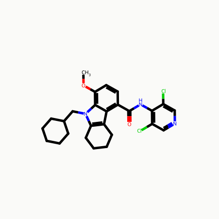 COc1ccc(C(=O)Nc2c(Cl)cncc2Cl)c2c3c(n(CC4CCCCC4)c12)CCCC3